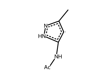 CC(=O)Nc1[c]c(C)n[nH]1